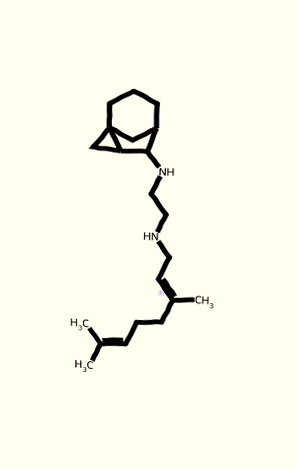 CC(C)=CCC/C(C)=C/CNCCNC1C2CCCC3(C2)CC13